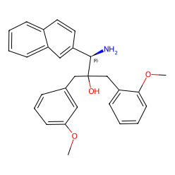 COc1cccc(CC(O)(Cc2ccccc2OC)[C@H](N)c2ccc3ccccc3c2)c1